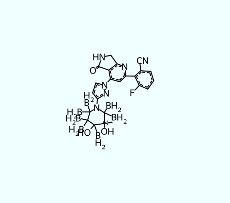 BC1(B)N(c2ccn(-c3cc(-c4c(F)cccc4C#N)nc4c3C(=O)NC4)n2)C(B)(B)[C@](C)(O)C(B)(O)C1(B)B